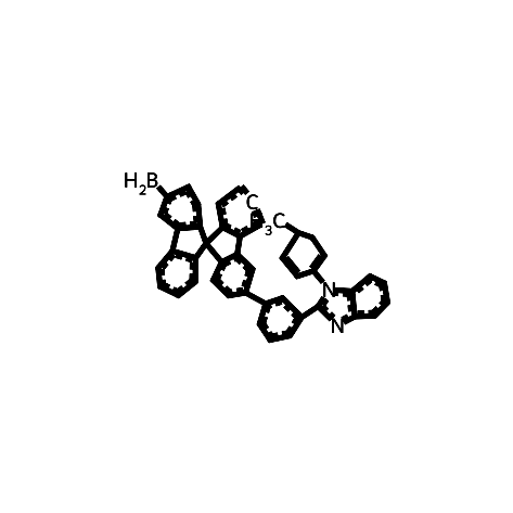 Bc1ccc2c(c1)-c1ccccc1C21c2ccccc2-c2cc(-c3cccc(-c4nc5ccccc5n4C4=CCC(C)C=C4)c3)ccc21